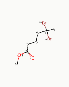 COC(=O)CCCC(C)(Br)Br